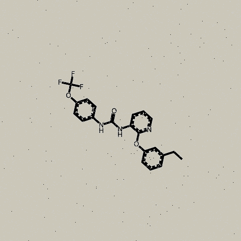 CCc1cccc(Oc2ncccc2NC(=O)Nc2ccc(OC(F)(F)F)cc2)c1